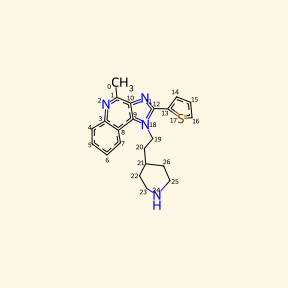 Cc1nc2ccccc2c2c1nc(-c1cccs1)n2CCC1CCNCC1